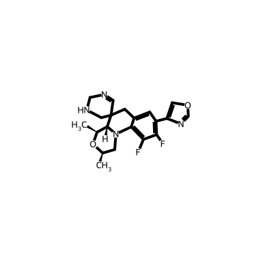 C[C@@H]1CN2c3c(cc(-c4cocn4)c(F)c3F)CC3(C=NCNC3)[C@H]2[C@H](C)O1